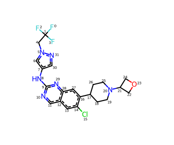 FC(F)(F)Cn1cc(Nc2ncc3cc(Cl)c(C4CCN(C5COC5)CC4)cc3n2)cn1